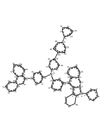 C1=Cc2c(n(-c3ccccc3)c3cc4ccccc4c(-c4cccc(N(c5ccc(-c6ccc(-c7ccccc7)cc6)cc5)c5ccc(-c6cc7ccccc7c7ccccc67)cc5)c4)c23)CC1